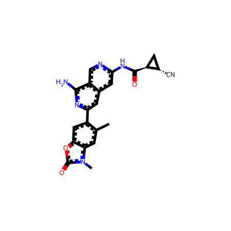 Cc1cc2c(cc1-c1cc3cc(NC(=O)[C@H]4C[C@@H]4C#N)ncc3c(N)n1)oc(=O)n2C